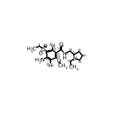 [2H]c1c(N)c(S(=O)(=O)CC)c([2H])c(C(=O)NCC2CCCN2CC)c1OC